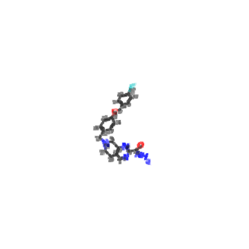 NC(=O)c1n[c]c2c(n1)CN(Cc1ccc(OCc3ccc(F)cc3)cc1)CC2